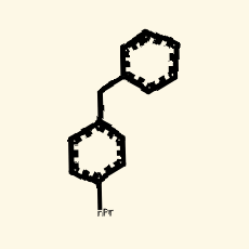 [CH2]CCc1ccc(Cc2ccccc2)cc1